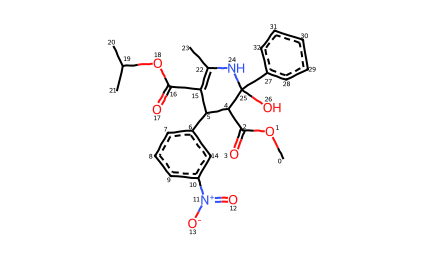 COC(=O)C1C(c2cccc([N+](=O)[O-])c2)C(C(=O)OC(C)C)=C(C)NC1(O)c1ccccc1